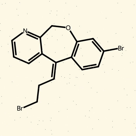 BrCCC=C1c2ccc(Br)cc2OCc2ncccc21